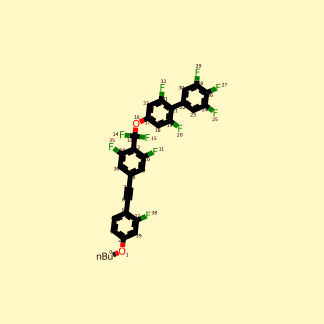 CCCCOc1ccc(C#Cc2cc(F)c(C(F)(F)Oc3cc(F)c(-c4cc(F)c(F)c(F)c4)c(F)c3)c(F)c2)c(F)c1